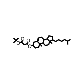 CC(C)CCCCC1CCC2C3CC=C4CC(OC(=O)CC(=O)OC(C)(C)C)CCC4(C)C3CCC12C